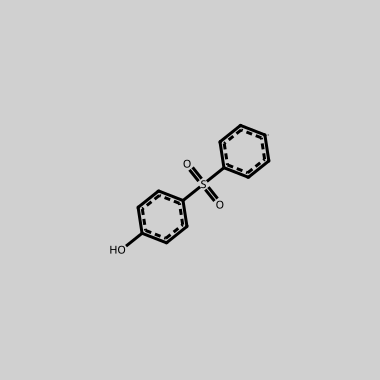 O=S(=O)(c1cc[c]cc1)c1ccc(O)cc1